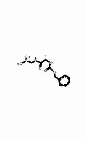 C[C@H](NC(=O)OCc1ccccc1)C(=O)NCP(O)O